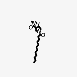 CCCCCCCCCCCC(=O)N1CCC(C(=O)NC)C1